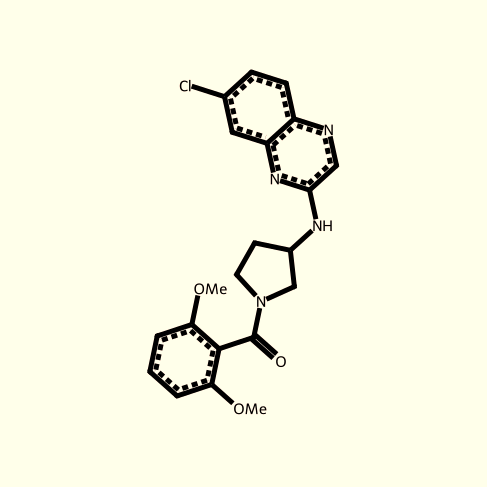 COc1cccc(OC)c1C(=O)N1CCC(Nc2cnc3ccc(Cl)cc3n2)C1